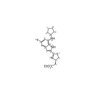 CCOC(=O)C[C@@H]1CSC(c2cc3cc(F)cc(NC4CCCC4)c3[nH]2)=N1